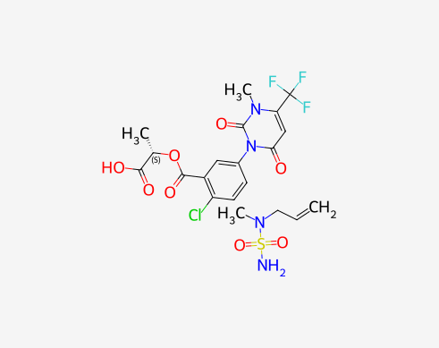 C=CCN(C)S(N)(=O)=O.C[C@H](OC(=O)c1cc(-n2c(=O)cc(C(F)(F)F)n(C)c2=O)ccc1Cl)C(=O)O